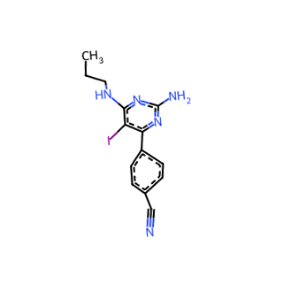 CCCNc1nc(N)nc(-c2ccc(C#N)cc2)c1I